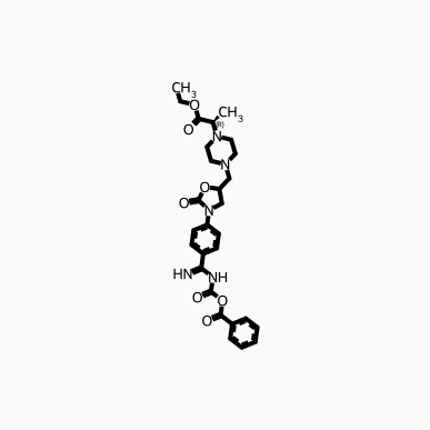 CCOC(=O)[C@@H](C)N1CCN(CC2CN(c3ccc(C(=N)NC(=O)OC(=O)c4ccccc4)cc3)C(=O)O2)CC1